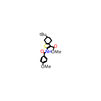 COC(=O)c1c(NC(=O)c2ccc(OC)cc2)sc2c1CCC(C(C)(C)C)C2